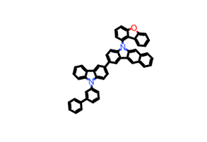 c1ccc(-c2cccc(-n3c4ccccc4c4cc(-c5ccc6c(c5)c5cc7ccccc7cc5n6-c5cccc6oc7ccccc7c56)ccc43)c2)cc1